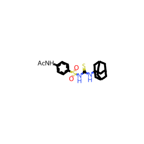 CC(=O)Nc1ccc(S(=O)(=O)NC(=S)NC23CC4CC(CC(C4)C2)C3)cc1